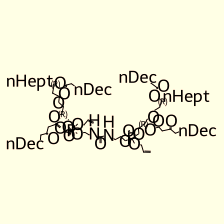 C=CCOP(=O)(OCCNC(=O)NCCOP(=O)(OCC=C)OC[C@@H](COCC[C@@H](CCCCCCC)OC(=O)CCCCCCCCCCC)OC(=O)CC(=O)CCCCCCCCCCC)OC[C@@H](COCC[C@@H](CCCCCCC)OC(=O)CCCCCCCCCCC)OC(=O)CC(=O)CCCCCCCCCCC